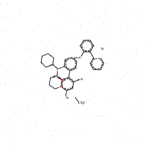 CC(C)c1cc(C(C)C)c(-c2ccccc2P(C2CCCCC2)C2CCCCC2)c(C(C)C)c1.CNc1ccccc1-c1ccccc1.CS(=O)(=O)O.[Pd]